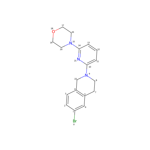 Brc1ccc2c(c1)CCN(c1cccc(N3CCOCC3)n1)C2